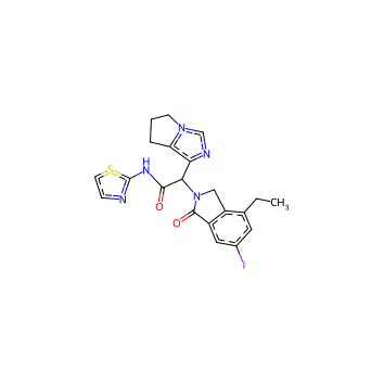 CCc1cc(I)cc2c1CN(C(C(=O)Nc1nccs1)c1ncn3c1CCC3)C2=O